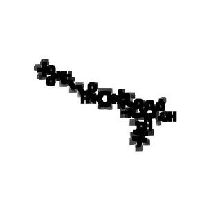 COC(=O)[C@H](CO)NC(=O)[C@H](CO[Si](C)(C)C(C)(C)C)NC(=O)c1csc(N2CCC(NC(=O)CCCCCNC(=O)OC(C)(C)C)CC2)n1